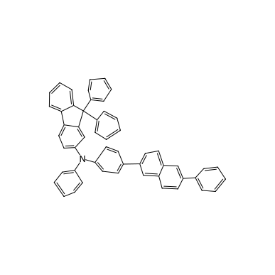 c1ccc(-c2ccc3cc(-c4ccc(N(c5ccccc5)c5ccc6c(c5)C(c5ccccc5)(c5ccccc5)c5ccccc5-6)cc4)ccc3c2)cc1